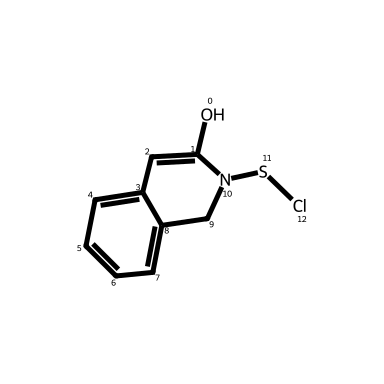 OC1=Cc2ccccc2CN1SCl